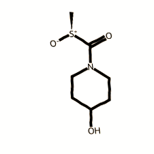 C[S@+]([O-])C(=O)N1CCC(O)CC1